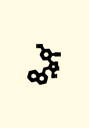 Oc1ccc(-n2nnc(S)c2Cc2cccc3ccccc23)c(O)c1